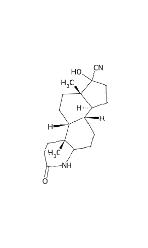 C[C@]12CCC(=O)NC1CC[C@@H]1[C@H]2CC[C@@]2(C)[C@H]1CCC2(O)C#N